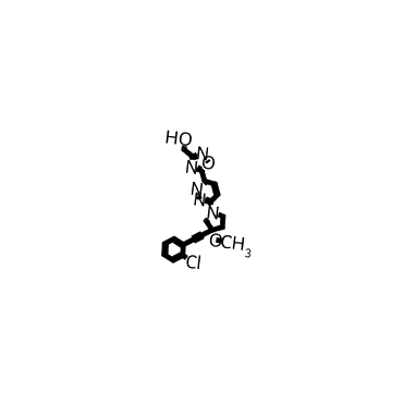 COC1(C#Cc2ccccc2Cl)CCN(c2ccc(-c3nc(CO)no3)nn2)C1